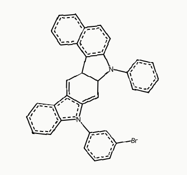 Brc1cccc(-n2c3c(c4ccccc42)=CC2c4c(ccc5ccccc45)N(c4ccccc4)C2C=3)c1